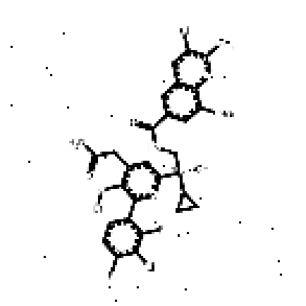 CCOc1c(CC(N)=O)cc([C@@](O)(CNC(=O)c2cc(OC)c3nc(C)c(Cl)cc3c2)C2CC2)nc1-c1ccc(F)c(Cl)c1F